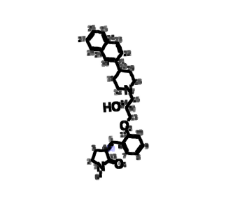 CN1CC/C(=C/c2ccccc2OC[C@H](O)CN2CCC(c3ccc4ccccc4c3)CC2)C1=O